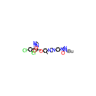 CCC(C)n1ncn(-c2ccc(N3CCN(c4ccc(OC[C@@H]5CO[C@@](Cn6nccn6)(c6ccc(Cl)cc6Cl)O5)cc4C)CC3)cc2)c1=O